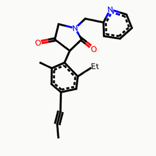 CC#Cc1cc(C)c(C2C(=O)CN(Cc3ccccn3)C2=O)c(CC)c1